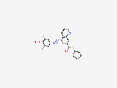 Cc1cc(/N=N/c2cc(C(=O)Sc3ccccc3)cc3ncccc23)cc(C)c1O